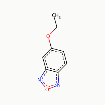 CCOc1ccc2nonc2c1